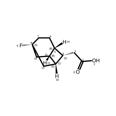 O=C(O)C[C@H]1[C@H]2CC[C@]3(F)C[C@H]2[C@H]1C3